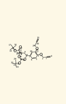 C#CCOc1ccc(C(CNC(=O)OC(C)(C)C)OC(=O)OC(C)(C)C)cc1OCC#C